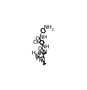 Cn1c(-c2cn(C3CC3)nc2C(F)(F)F)cnc1C(=O)Nc1ccc(C(=O)NC[C@H]2CC[C@H](N)CC2)c(Cl)c1